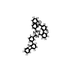 c1ccc(-c2nc(-c3cccc(-c4cccc5c4sc4ccccc45)c3)nc(-c3cccc4sc5ccc(-c6nc7ccccc7o6)cc5c34)n2)cc1